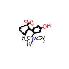 C[C@H](c1cc(O)cc2oc(=O)c3ccccc3c12)N(C)C